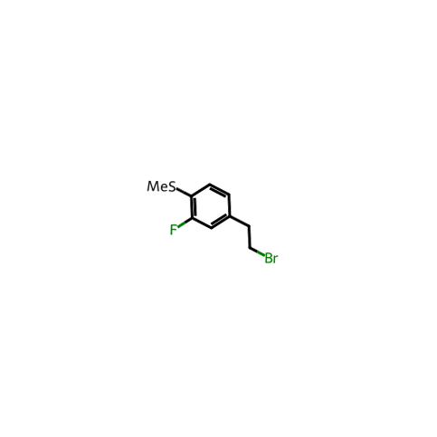 CSc1ccc(CCBr)cc1F